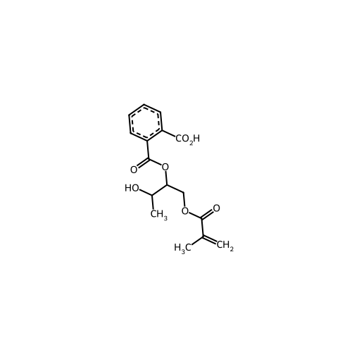 C=C(C)C(=O)OCC(OC(=O)c1ccccc1C(=O)O)C(C)O